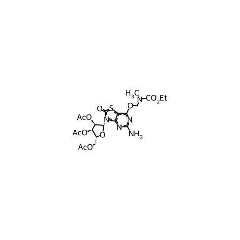 CCOC(=O)N(C)COc1nc(N)nc2c1sc(=O)n2[C@@H]1O[C@H](COC(C)=O)[C@@H](OC(C)=O)[C@H]1OC(C)=O